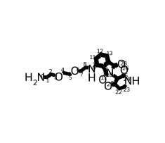 NCCOCCOCCNc1cccc2c1C(=O)N(C1C(=O)CCNC1=O)C2=O